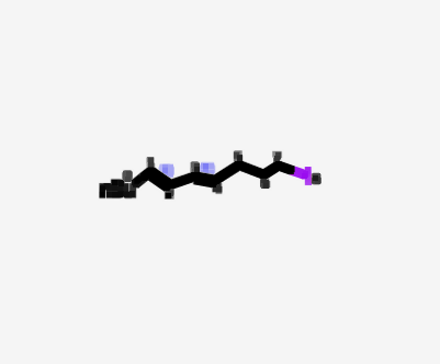 CCCC/C=C/C=C/CCCI